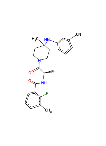 Cc1cccc(C(=O)N[C@@H](C(=O)N2CCC(C)(Nc3cccc(C#N)c3)CC2)C(C)C)c1F